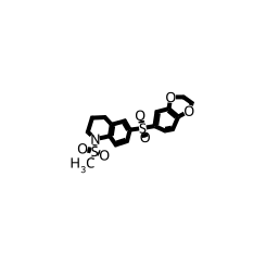 CS(=O)(=O)N1CCCc2cc(S(=O)(=O)c3ccc4c(c3)OCCO4)ccc21